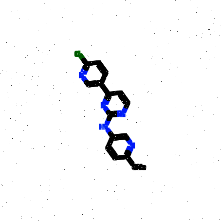 COc1ccc(Nc2nccc(-c3ccc(Cl)nc3)n2)cn1